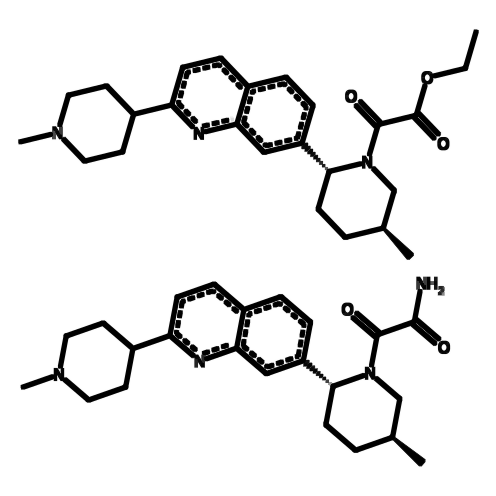 CCOC(=O)C(=O)N1C[C@@H](C)CC[C@@H]1c1ccc2ccc(C3CCN(C)CC3)nc2c1.C[C@H]1CC[C@H](c2ccc3ccc(C4CCN(C)CC4)nc3c2)N(C(=O)C(N)=O)C1